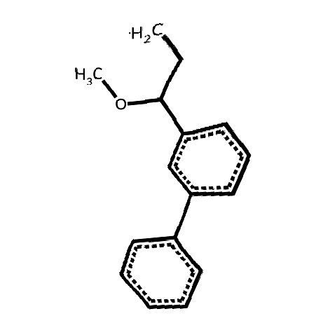 [CH2]CC(OC)c1cccc(-c2ccccc2)c1